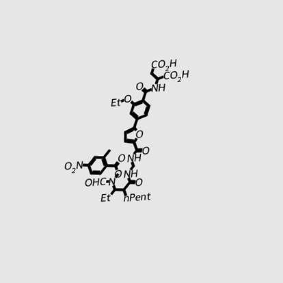 CCCCCC(C(=O)NCNC(=O)c1ccc(-c2ccc(C(=O)NC(CC(=O)O)C(=O)O)c(OCC)c2)o1)C(CC)N(C=O)OC(=O)c1ccc([N+](=O)[O-])cc1C